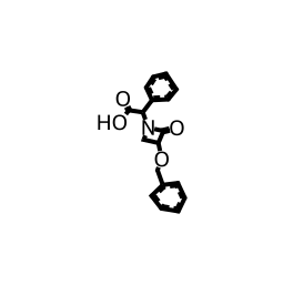 O=C(O)C(c1ccccc1)N1CC(OCc2ccccc2)C1=O